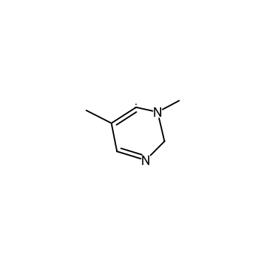 CC1=[C]N(C)CN=C1